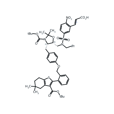 CC(C)CN(C[C@H]1OC(C)(C)N(C(=O)OC(C)(C)C)[C@H]1Cc1ccc(OCc2ccccc2-c2sc3c(c2C(=O)OC(C)(C)C)CC(C)(C)CC3)cc1)S(=O)(=O)c1ccc([N+](=O)[O-])c(/C=C/C(=O)O)c1